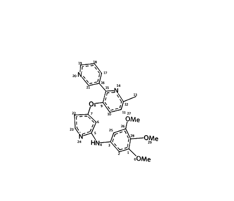 COc1cc(Nc2cc(Oc3ccc(C)nc3-c3cccnc3)ccn2)cc(OC)c1OC